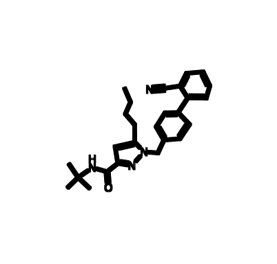 CCCCc1cc(C(=O)NC(C)(C)C)nn1Cc1ccc(-c2ccccc2C#N)cc1